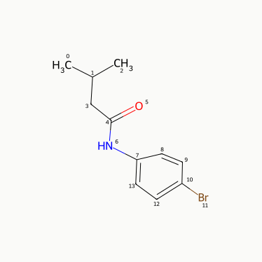 CC(C)CC(=O)Nc1ccc(Br)cc1